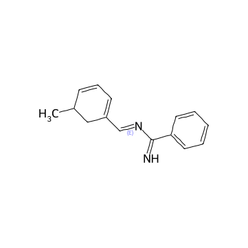 CC1C=CC=C(/C=N/C(=N)c2ccccc2)C1